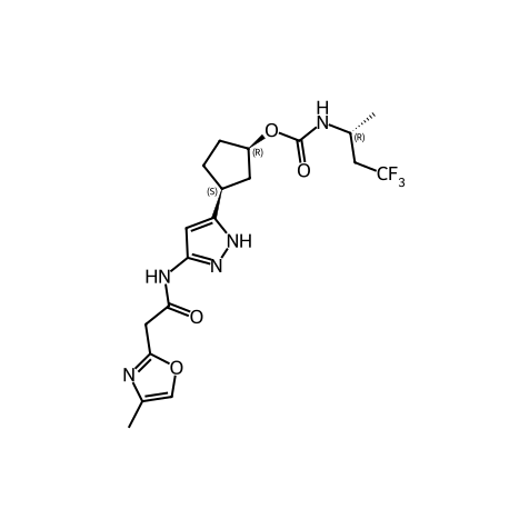 Cc1coc(CC(=O)Nc2cc([C@H]3CC[C@@H](OC(=O)N[C@H](C)CC(F)(F)F)C3)[nH]n2)n1